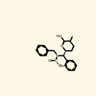 CC(C)(C)[S@@+]([O-])N(Cc1ccccc1)C(c1ccccc1)[C@@H]1CCC(I)C(O)O1